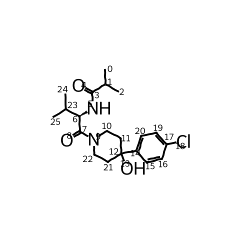 CC(C)C(=O)N[C@@H](C(=O)N1CCC(O)(c2ccc(Cl)cc2)CC1)C(C)C